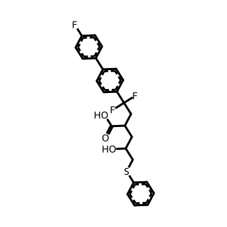 O=C(O)C(CC(O)CSc1ccccc1)CC(F)(F)c1ccc(-c2ccc(F)cc2)cc1